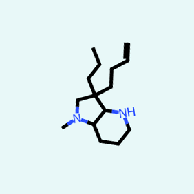 C=CCCC1(CCC)CN(C)C2CCCNC21